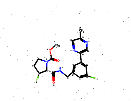 CC(C)(C)OC(=O)N1CC[C@H](F)[C@H]1C(=O)NCc1cc(F)cc(-c2cnc(C(F)(F)F)cn2)c1